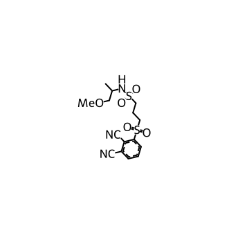 COCC(C)NS(=O)(=O)CCCS(=O)(=O)c1cccc(C#N)c1C#N